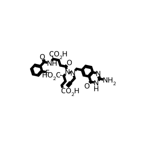 C#CCN(Cc1ccc2nc(N)[nH]c(=O)c2c1)N(C(=O)CC[C@H](NC(=O)c1ccccc1F)C(=O)O)[C@H](CCC(=O)O)C(=O)O